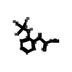 CCCCC(=O)Nc1ccccc1OC(F)(F)I